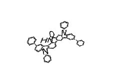 O=c1[nH]c2c(ccc3c2c2cc(-c4ccccc4)ccc2n3-c2ccccc2)c2cc3c4cc(-c5ccccc5)ccc4n(-c4ccccc4)c3cc12